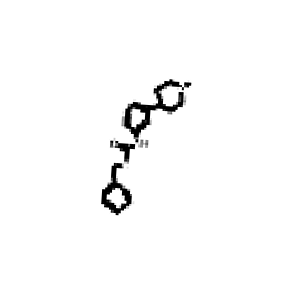 CN1CCC(c2cccc(NC(=O)OCc3ccccc3)c2)CC1